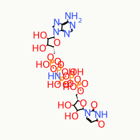 Nc1ncnc2c1ncn2[C@@H]1O[C@H](COP(=O)(O)OP(=O)(O)NP(=O)(O)OP(=O)(O)OP(=O)(O)OC[C@H]2O[C@@H](n3ccc(=O)[nH]c3=O)C(O)C2O)C(O)C1O